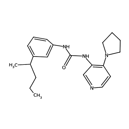 CCCC(C)c1cccc(NC(=O)Nc2cnccc2N2CCCC2)c1